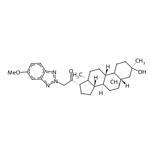 COc1ccc2nn(CC(=O)[C@H]3CC[C@H]4[C@@H]5CC[C@H]6C[C@](C)(O)CC[C@]6(C)[C@H]5CC[C@]34C)nc2c1